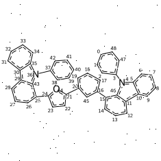 c1ccc(-n2c3ccccc3c3cccc(-c4cccc(-c5ccc(-c6cccc7c8ccccc8n(-c8ccccc8)c67)o5)c4)c32)cc1